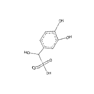 O=S(=O)(O)C(O)c1ccc(O)c(O)c1